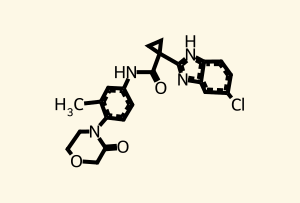 Cc1cc(NC(=O)C2(c3nc4cc(Cl)ccc4[nH]3)CC2)ccc1N1CCOCC1=O